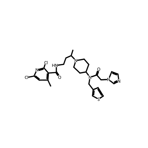 Cc1cc(Cl)nc(Cl)c1C(=O)NCCC(C)N1CCC(N(Cc2ccsc2)C(=O)Cn2ccnc2)CC1